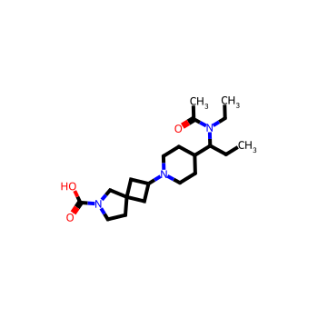 CCC(C1CCN(C2CC3(CCN(C(=O)O)C3)C2)CC1)N(CC)C(C)=O